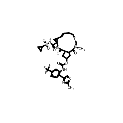 Cc1nc(-c2ccc(C(F)(F)F)cc2NC(=O)OC2CC3C(=O)NC4(C(=O)NS(=O)(=O)C5CC5)CC4/C=C/CCCCN(C)C(=O)C3C2)cs1